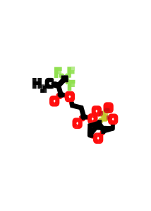 C=C(C(=O)OCCC(=O)OC1C2CC3C(O2)C1OS3(=O)=O)C(F)(F)F